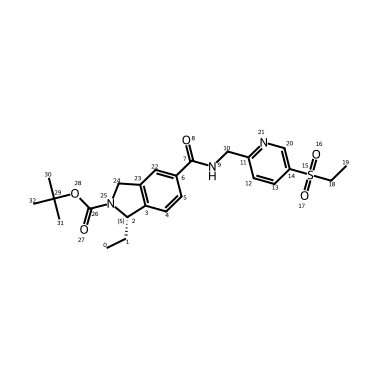 CC[C@H]1c2ccc(C(=O)NCc3ccc(S(=O)(=O)CC)cn3)cc2CN1C(=O)OC(C)(C)C